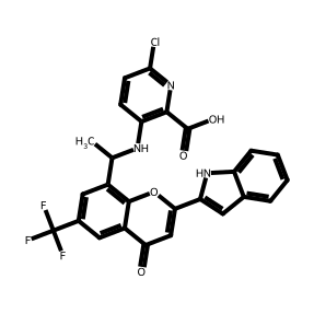 CC(Nc1ccc(Cl)nc1C(=O)O)c1cc(C(F)(F)F)cc2c(=O)cc(-c3cc4ccccc4[nH]3)oc12